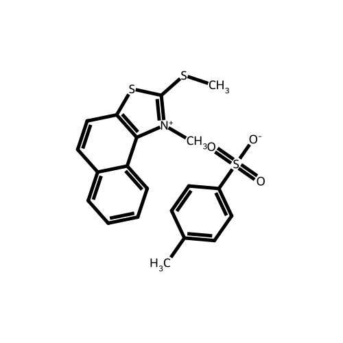 CSc1sc2ccc3ccccc3c2[n+]1C.Cc1ccc(S(=O)(=O)[O-])cc1